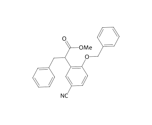 COC(=O)C(Cc1ccccc1)c1cc(C#N)ccc1OCc1ccccc1